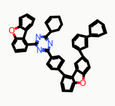 C1=CC(c2nc(-c3ccc(-c4cccc5oc6ccc(-c7cccc(-c8ccccc8)c7)cc6c45)cc3)nc(-c3cccc4oc5ccccc5c34)n2)CCC1